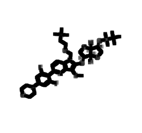 CSc1c(O[C@@H]2CO[C@H]3[C@@H]2OC[C@H]3O[Si](C)(C)C(C)(C)C)n(COCC[Si](C)(C)C)c2ccc(-c3c(F)cc(N4CCOCC4)cc3F)nc12